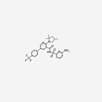 CC1CN(c2ncc(-c3ccc(C(F)(F)F)cc3)cc2C(=O)NS(=O)(=O)c2cccc(N)n2)C(C)(C)C1